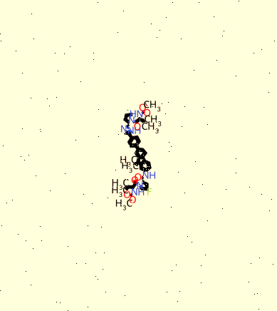 COC(=O)N[C@H](C(=O)N1C[C@@H](F)C[C@H]1C(=O)Nc1ccc2c(c1)C(C)(C)c1cc(-c3ccc(-c4cnc([C@@H]5CCCN5C(=O)[C@@H](NC(=O)OC)C(C)C)[nH]4)cc3)ccc1-2)C(C)C